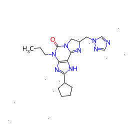 CCCN1C(=O)N2CC(Cn3cncn3)N=C2c2[nH]c(C3CCCC3)nc21